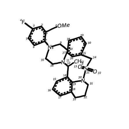 COc1cc(F)ccc1N1CCN(C(C)c2cccc3c2N(S(=O)(=O)Cc2ccccc2)CCC3)CC1